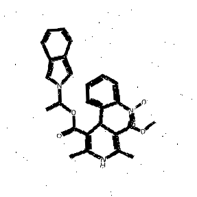 COC(=O)C1=C(C)NC(C)=C(C(=O)OC(C)n2cc3ccccc3c2)C1c1ccccc1[N+](=O)[O-]